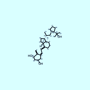 C=C1/C(=C\C=C2/CCC[C@]3(C)[C@@H](C(C)CN4CCC[C@H]4C(C)(C)O)CC[C@@H]23)C[C@@H](O)C[C@@H]1O